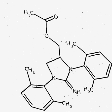 CC(=O)OCC1CN(c2c(C)cccc2C)C(=N)N1c1c(C)cccc1C